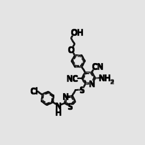 N#Cc1c(N)nc(SCc2csc(Nc3ccc(Cl)cc3)n2)c(C#N)c1-c1ccc(OCCO)cc1